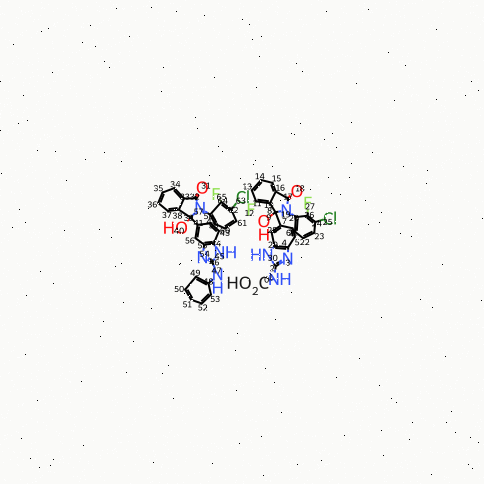 O=C(O)Nc1nc2ccc(C3(O)c4c(F)cccc4C(=O)N3c3cccc(Cl)c3F)cc2[nH]1.O=C1c2ccccc2C(O)(c2ccc3[nH]c(Nc4ccccc4)nc3c2)N1c1cccc(Cl)c1F